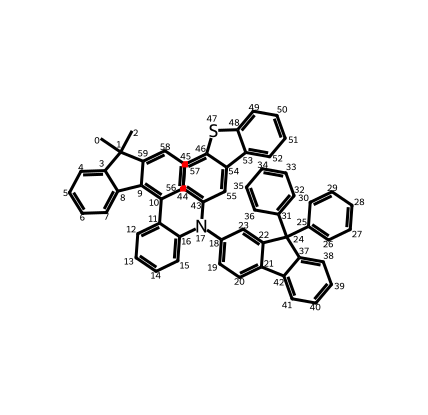 CC1(C)c2ccccc2-c2c(-c3ccccc3N(c3ccc4c(c3)C(c3ccccc3)(c3ccccc3)c3ccccc3-4)c3ccc4sc5ccccc5c4c3)cccc21